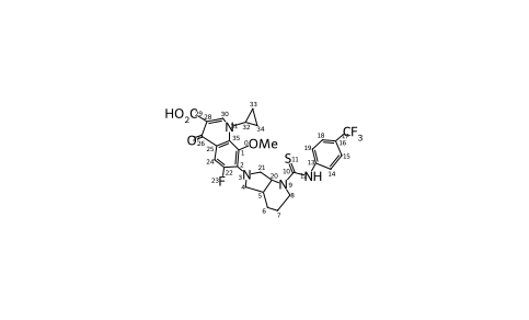 COc1c(N2CC3CCCN(C(=S)Nc4ccc(C(F)(F)F)cc4)C3C2)c(F)cc2c(=O)c(C(=O)O)cn(C3CC3)c12